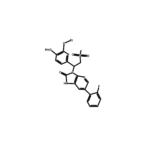 CCOc1nc(C(CS(C)(=O)=O)n2c(=O)[nH]c3cc(-c4ccccc4F)cnc32)ccc1OC